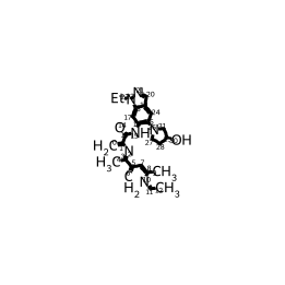 C=C(/N=C(\C)C(=C)/C=C(C)\N=C/C)C(=O)Nc1cc2c(cnn2CC)cc1N1CC[C@H](O)C1